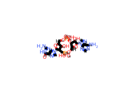 Nc1nc2c(ncn2[C@@H]2O[C@@H]3COP(=O)(O)OC4C(O)[C@H](n5cnc6c(N)ncnc65)O[C@@H]4COP(=O)(O)CC2C3O)c(=O)[nH]1